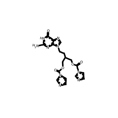 Nc1nc2c(ncn2CCC(COC(=O)n2ccnc2)COC(=O)n2ccnc2)c(=O)[nH]1